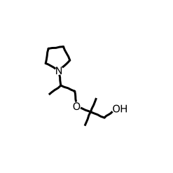 CC(COC(C)(C)CO)N1CCCC1